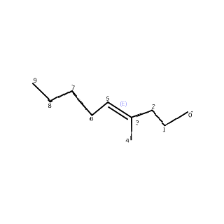 [CH2]CC/C(C)=C/CCCC